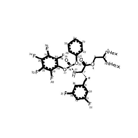 CCCCCCC(CCCCCC)COC(=O)[C@H](Cc1cc(F)cc(F)c1)N[P@](=O)(Oc1ccccc1)Oc1c(F)c(F)c(F)c(F)c1F